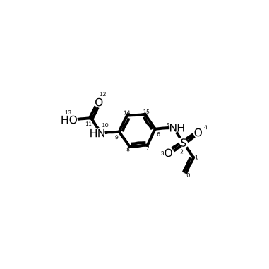 C=CS(=O)(=O)Nc1ccc(NC(=O)O)cc1